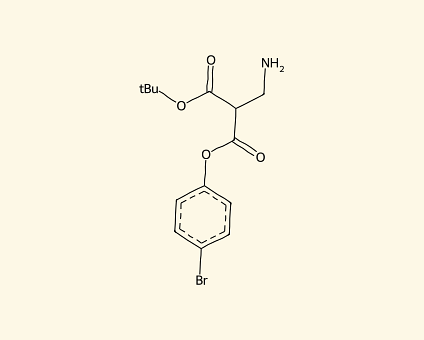 CC(C)(C)OC(=O)C(CN)C(=O)Oc1ccc(Br)cc1